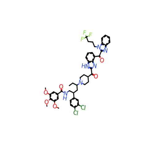 CCC(CC(CNC(=O)c1cc(OC)c(OC)c(OC)c1)c1ccc(Cl)c(Cl)c1)N1CCC(C(=O)c2nc3c(C(=O)c4nc5ccccc5n4CCCC(F)(F)F)cccc3[nH]2)CC1